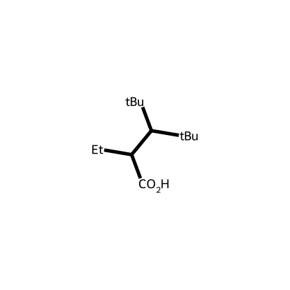 CCC(C(=O)O)C(C(C)(C)C)C(C)(C)C